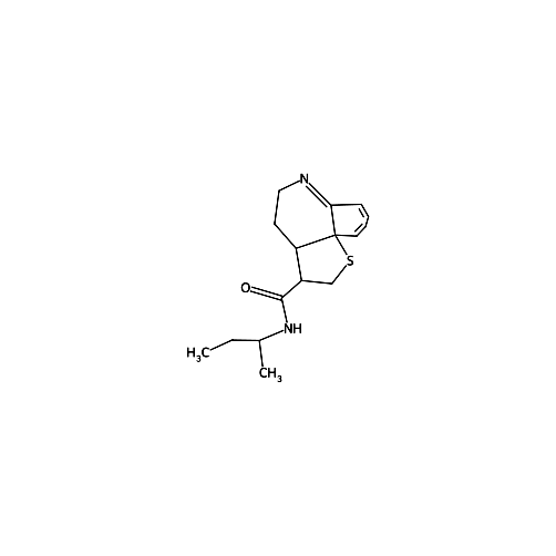 CCC(C)NC(=O)C1CSC23C=CC=CC2=NCCC13